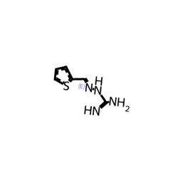 N=C(N)N/N=C/c1cccs1